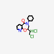 Cl.O=C1c2cccnc2OC(CCCl)CN1c1ccccc1